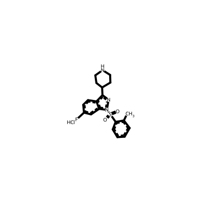 Cc1ccccc1S(=O)(=O)n1nc(C2CCNCC2)c2ccc(F)cc21.Cl